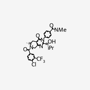 CNC(=O)c1ccc(-n2c([C@H](O)C(C)C)nc3c(c2=O)C[C@@H](C)N(C(=O)c2ccc(Cl)c(C(F)(F)F)c2)C3)cc1